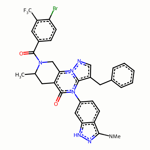 CNc1n[nH]c2cc(-n3c(=O)c4c(n5ncc(Cc6ccccc6)c35)CN(C(=O)c3ccc(Br)c(C(F)(F)F)c3)C(C)C4)ccc12